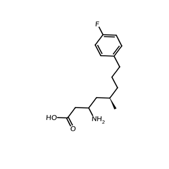 C[C@H](CCCc1ccc(F)cc1)CC(N)CC(=O)O